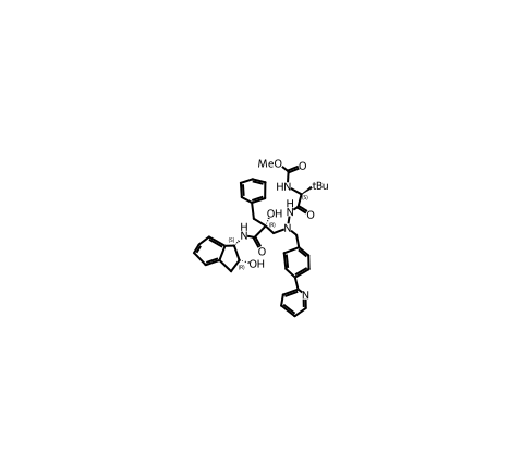 COC(=O)N[C@H](C(=O)NN(Cc1ccc(-c2ccccn2)cc1)C[C@](O)(Cc1ccccc1)C(=O)N[C@H]1c2ccccc2C[C@H]1O)C(C)(C)C